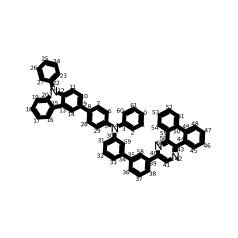 c1ccc(N(c2ccc(-c3ccc4c(c3)c3ccccc3n4-c3ccccc3)cc2)c2cccc(-c3cccc(-c4cnc5c6ccccc6c6ccccc6c5n4)c3)c2)cc1